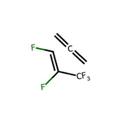 C=C=C.FC=C(F)C(F)(F)F